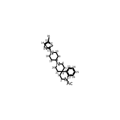 CC(=O)N1CCC2(CCN(C3CCN(c4ncc(C)s4)CC3)CC2)c2ccccc21